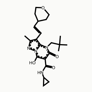 Cc1nn2c(O)c(C(=O)NC3CC3)c(=O)n(CC(C)(C)C)c2c1C=CC1CCOCC1